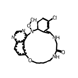 CON1c2ncnc3ccc(cc23)OCCCNC(=O)CN/C=C2\C=C(Cl)CCC21